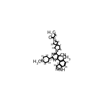 C=CC(=O)N1CC2(CCN(c3nc(C4CCN(C)CC4)nc(-c4c(C)ccc5[nH]ncc45)c3C#N)C2)C1